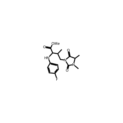 COC(=O)C(Nc1ccc(F)cc1)C(C)CN1C(=O)C(C)N(C)C1=O